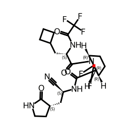 N#C[C@H](C[C@@H]1CCNC1=O)NC(=O)[C@H]1[C@H]2CC[C@H](CC2(F)F)N1C(=O)[C@H](CC1CCC1)NC(=O)C(F)(F)F